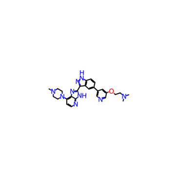 CN(C)CCOc1cncc(-c2ccc3[nH]nc(-c4nc5c(N6CCN(C)CC6)ccnc5[nH]4)c3c2)c1